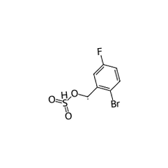 O=[SH](=O)O[CH]c1cc(F)ccc1Br